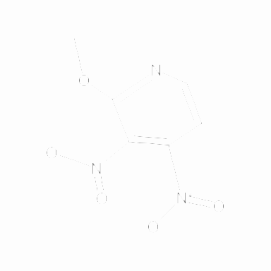 COc1nccc([N+](=O)[O-])c1[N+](=O)[O-]